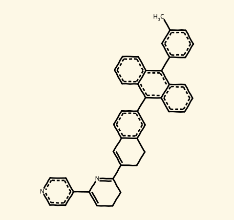 Cc1cccc(-c2c3ccccc3c(-c3ccc4c(c3)CCC(C3=NC(c5ccncc5)=CCC3)=C4)c3ccccc23)c1